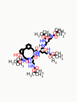 CC(C)(C)OC(=O)NCCC[C@@H](CNC(=O)C[C@H](CCCNC(=O)OC(C)(C)C)NC(=O)[C@@H]1Cc2cccc(c2)-c2ccc(O)c(c2)C[C@H](NC(=O)OC(C)(C)C)C(=O)N[C@@H](CCCNC(=O)OC(C)(C)C)C(=O)N1)NC(=O)OC(C)(C)C